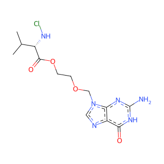 CC(C)[C@H](NCl)C(=O)OCCOCn1cnc2c(=O)[nH]c(N)nc21